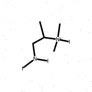 CC(CN(I)I)[N+](C)(C)I